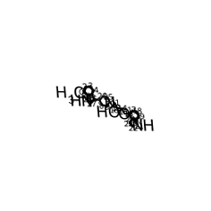 Cc1cccc2c(C3CCN(C[C@H](O)COc4cccc5[nH]ccc45)CC3)c[nH]c12